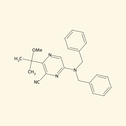 COC(C)(C)c1ncc(N(Cc2ccccc2)Cc2ccccc2)nc1C#N